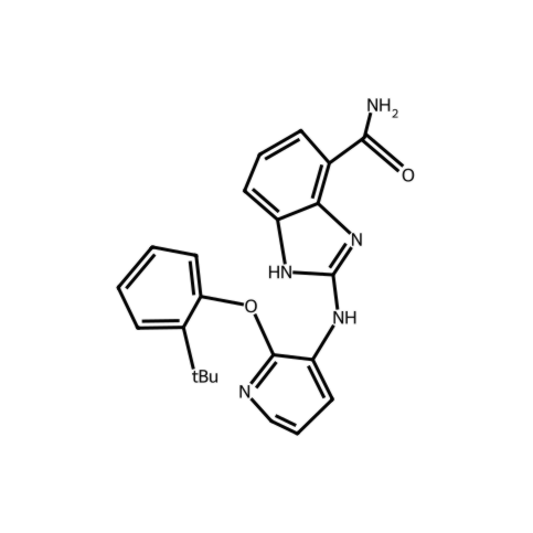 CC(C)(C)c1ccccc1Oc1ncccc1Nc1nc2c(C(N)=O)cccc2[nH]1